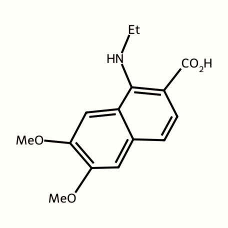 CCNc1c(C(=O)O)ccc2cc(OC)c(OC)cc12